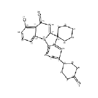 O=C1CCC(c2ccc3c(c2)C2(CCCCC2)c2nc(=O)c4c(Cl)cccc4n2-3)CC1